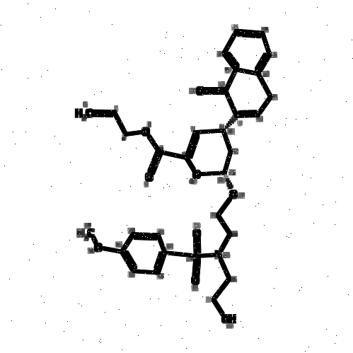 C=CCOC(=O)C1=C[C@H](C2=CCc3ccccc3C2=O)C[C@H](OCCN(CCO)S(=O)(=O)c2ccc(OC)cc2)O1